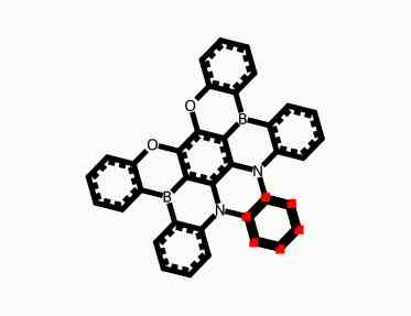 c1ccc(N2c3ccccc3B3c4ccccc4Oc4c5c6c(c2c43)N(c2ccccc2)c2ccccc2B6c2ccccc2O5)cc1